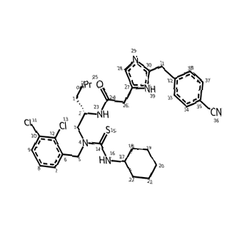 CC(C)C[C@@H](CN(Cc1cccc(Cl)c1Cl)C(=S)NC1CCCCC1)NC(=O)Cc1cnc(Cc2ccc(C#N)cc2)[nH]1